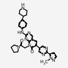 Cn1nccc1-c1ncc(-c2cc3cnc(Nc4ccc(C5CCNCC5)cc4)nc3n(CC(=O)N3CCCC3)c2=O)cn1